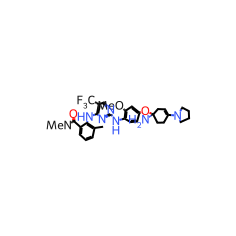 CNC(=O)c1cccc(C)c1Nc1nc(Nc2ccc(O[C@]3(N)CC=C(N4CCCC4)CC3)cc2OC)ncc1C(F)(F)F